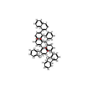 c1ccc(-c2cccc3ccccc23)c(-c2ccccc2N(c2ccc(-c3cccc4c3oc3ccccc34)cc2)c2ccccc2-c2cccc3oc4ccccc4c23)c1